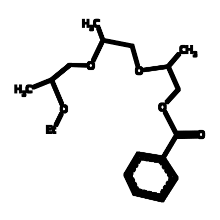 CCOC(C)COC(C)COC(C)COC(=O)c1ccccc1